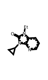 CCn1c(=O)n(C2CC2)c2ncccc21